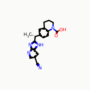 C[C@H](c1ccc2c(c1)CCCN2C(=O)O)c1nc2ncc(C#N)cc2[nH]1